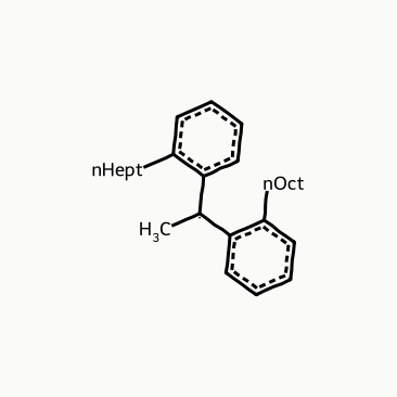 CCCCCCCCc1ccccc1[C](C)c1ccccc1CCCCCCC